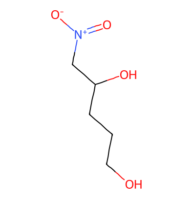 O=[N+]([O-])CC(O)CCCO